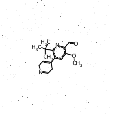 COc1cc(C2=CCN=CC2)c(C(C)(C)C)nc1C=O